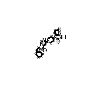 O=C(c1cc(N2CCC(n3c(=O)[nH]c4ncccc43)CC2)ncn1)N1CCC2CCCCC21